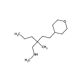 CCCC(C)(CCC1CCOCC1)CNC